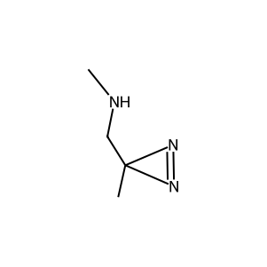 CNCC1(C)N=N1